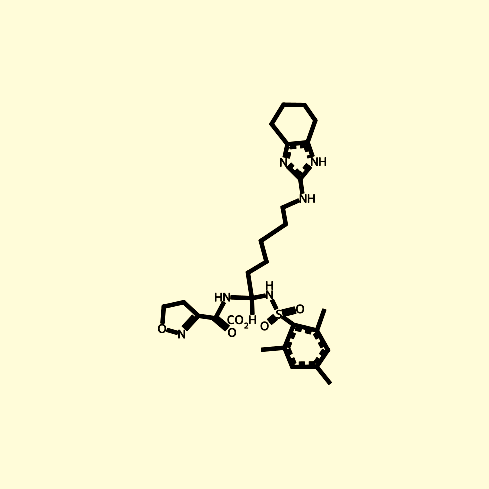 Cc1cc(C)c(S(=O)(=O)NC(CCCCCNc2nc3c([nH]2)CCCC3)(NC(=O)C2=NOCC2)C(=O)O)c(C)c1